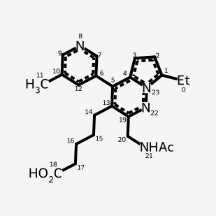 CCc1ccc2c(-c3cncc(C)c3)c(CCCCC(=O)O)c(CNC(C)=O)nn12